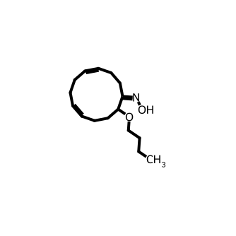 CCCCOC1CC/C=C\CC/C=C\CCC1=NO